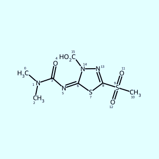 CN(C)C(=O)N=c1sc(S(C)(=O)=O)nn1C(=O)O